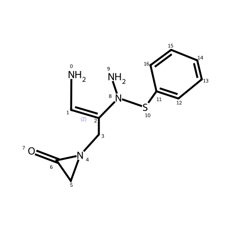 N/C=C(/CN1CC1=O)N(N)Sc1ccccc1